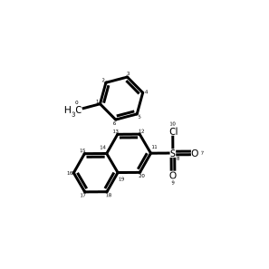 Cc1ccccc1.O=S(=O)(Cl)c1ccc2ccccc2c1